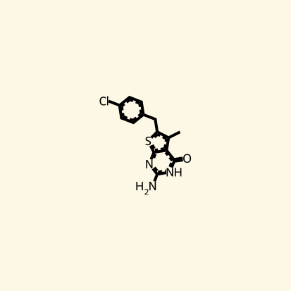 Cc1c(Cc2ccc(Cl)cc2)sc2nc(N)[nH]c(=O)c12